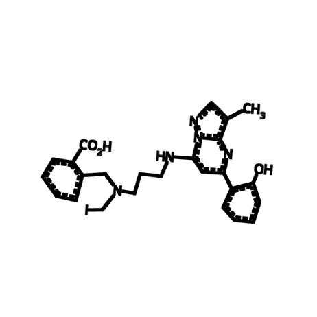 Cc1cnn2c(NCCCN(CI)Cc3ccccc3C(=O)O)cc(-c3ccccc3O)nc12